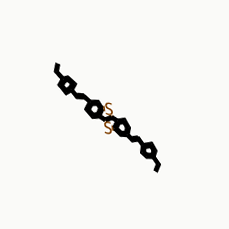 CCc1ccc(/C=C/c2ccc3c(c2)SC2c4ccc(/C=C/c5ccc(CC)cc5)cc4SC32)cc1